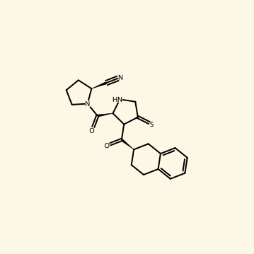 N#C[C@@H]1CCCN1C(=O)[C@H]1NCC(=S)C1C(=O)[C@@H]1CCc2ccccc2C1